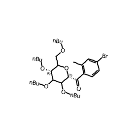 CCCCOCC1O[C@H](C(=O)c2ccc(Br)cc2C)C(OCCCC)C(OCCCC)[C@@H]1OCCCC